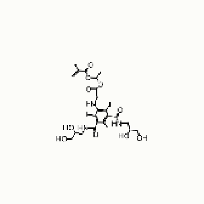 C=C(C)C(=O)OC(C)OC(=O)CNc1c(I)c(C(=O)NCC(O)CO)c(I)c(C(=O)NCC(O)CO)c1I